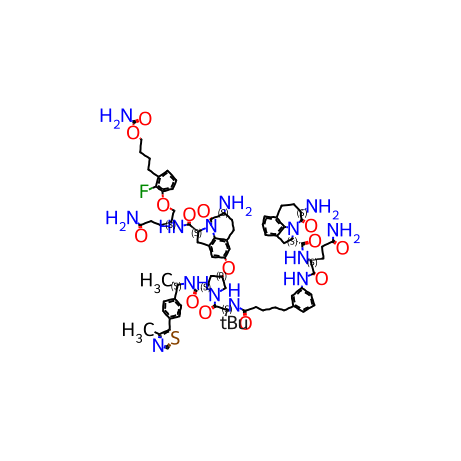 Cc1ncsc1-c1ccc([C@H](C)NC(=O)[C@@H]2C[C@@H](Oc3cc4c5c(c3)C[C@@H](C(=O)N[C@@H](CCC(N)=O)COc3cccc(CCCCOC(N)=O)c3F)N5C(=O)[C@@H](N)CC4)CN2C(=O)[C@@H](NC(=O)CCCCc2cccc(NC(=O)[C@H](CCC(N)=O)NC(=O)[C@@H]3Cc4cccc5c4N3C(=O)[C@@H](N)CC5)c2)C(C)(C)C)cc1